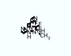 CCNc1nc(Nc2ccnn2C2CC(n3ccnn3)C2)ncc1C(F)(F)F